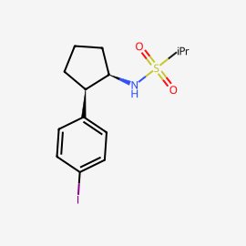 CC(C)S(=O)(=O)N[C@@H]1CCC[C@@H]1c1ccc(I)cc1